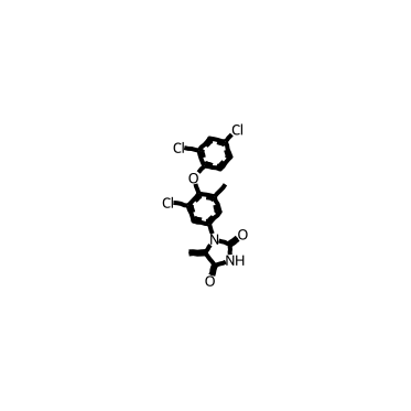 C=C1C(=O)NC(=O)N1c1cc(C)c(Oc2ccc(Cl)cc2Cl)c(Cl)c1